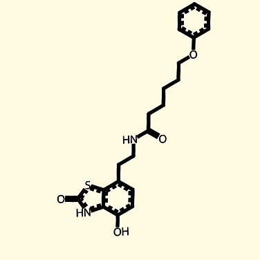 O=C(CCCCCOc1ccccc1)NCCc1ccc(O)c2[nH]c(=O)sc12